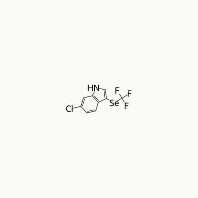 FC(F)(F)[Se]c1c[nH]c2cc(Cl)ccc12